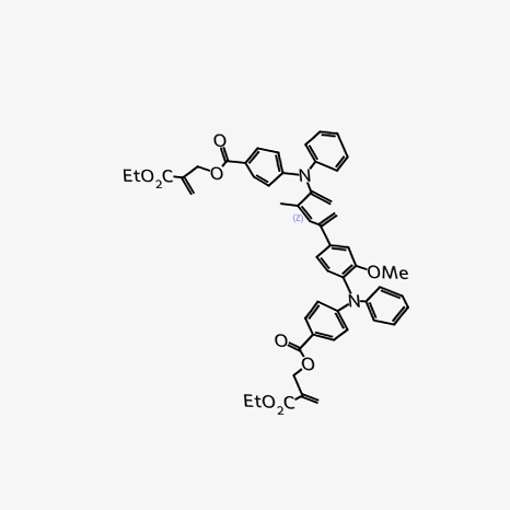 C=C(COC(=O)c1ccc(N(C(=C)/C(C)=C\C(=C)c2ccc(N(c3ccccc3)c3ccc(C(=O)OCC(=C)C(=O)OCC)cc3)c(OC)c2)c2ccccc2)cc1)C(=O)OCC